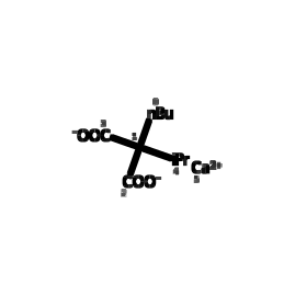 CCCCC(C(=O)[O-])(C(=O)[O-])C(C)C.[Ca+2]